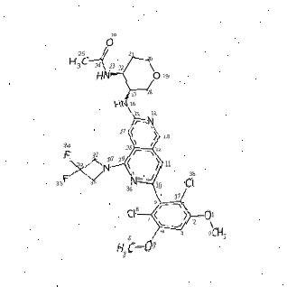 COc1cc(OC)c(Cl)c(-c2cc3cnc(N[C@@H]4COCC[C@@H]4NC(C)=O)cc3c(N3CC(F)(F)C3)n2)c1Cl